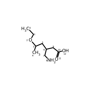 CCOC(C)CC(CN)CC(=O)O